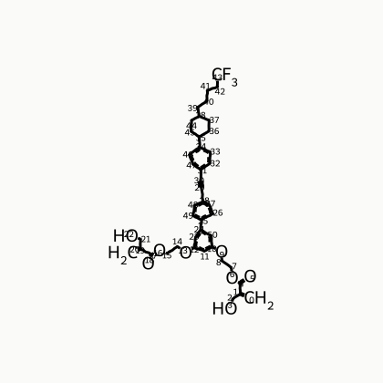 C=C(CO)C(=O)OCCOc1cc(OCCOC(=O)C(=C)CO)cc(-c2ccc(C#Cc3ccc(C4CCC(CCCCC(F)(F)F)CC4)cc3)cc2)c1